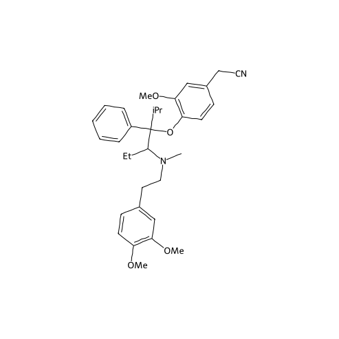 CCC(N(C)CCc1ccc(OC)c(OC)c1)C(Oc1ccc(CC#N)cc1OC)(c1ccccc1)C(C)C